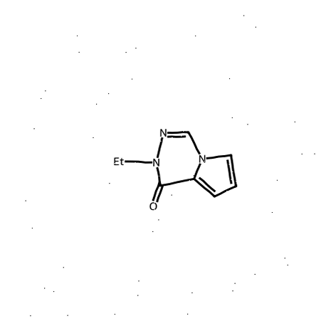 CCn1ncn2cccc2c1=O